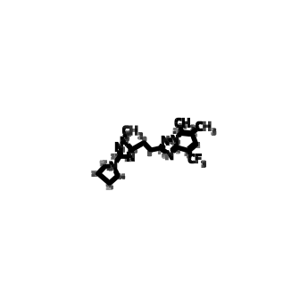 Cc1cc(C(F)(F)F)c2nc(CCc3nc(N4CCCC4)nn3C)nn2c1C